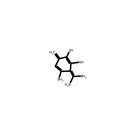 BC(B)=c1c(B)cc(=C)c(S)c1S